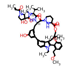 C=CC(=O)N1CC[C@](O)(C(=O)N(C)[C@H](C(=O)N[C@H]2Cc3cc(O)cc(c3)-c3ccc4c(c3)c(c(-c3c(CCOC)cccc3OC)n4CC)CC(C)(C)COC(=O)[C@@]3(O)CCCN(N3)C2=O)C(C)C)C1